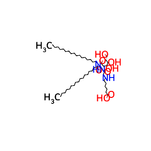 CCCCCCCCCCCCCCCCCCN(C(=O)CCCCCCCCCCCCCCCCC)[C@@H]1O[C@H](CO)[C@@H](O)[C@H](O)[C@@H]1NC(=O)CNCCCCCC(=O)O